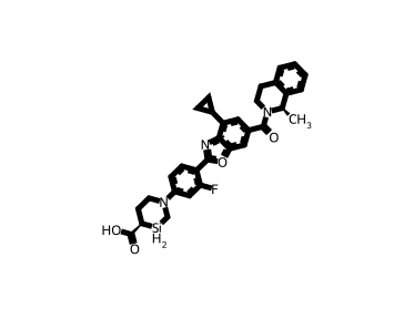 C[C@@H]1c2ccccc2CCN1C(=O)c1cc(C2CC2)c2nc(-c3ccc(N4CC[C@H](C(=O)O)[SiH2]C4)cc3F)oc2c1